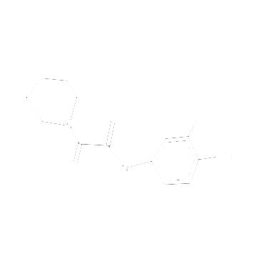 Cc1ccc(NC(=O)C(=O)N2CCCCC2)cc1Cl